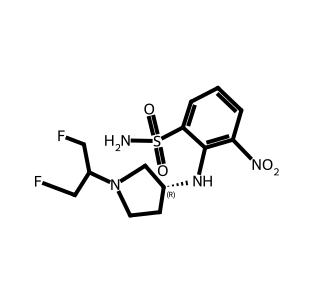 NS(=O)(=O)c1cccc([N+](=O)[O-])c1N[C@@H]1CCN(C(CF)CF)C1